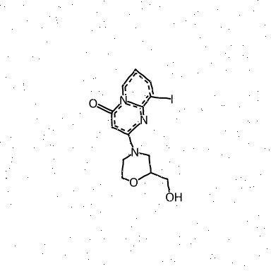 O=c1cc(N2CCOC(CO)C2)nc2c(I)cccn12